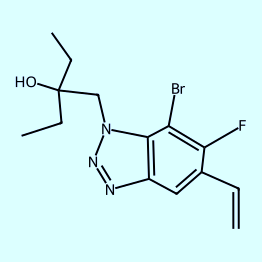 C=Cc1cc2nnn(CC(O)(CC)CC)c2c(Br)c1F